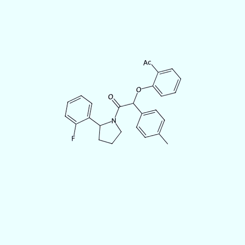 CC(=O)c1ccccc1OC(C(=O)N1CCCC1c1ccccc1F)c1ccc(C)cc1